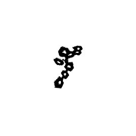 c1ccc(-c2ccc(-c3cccc(N(c4ccccc4)c4cc5ccc6ccccc6c5c5ccccc45)c3)cc2)cc1